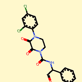 O=[C]C(NC(=O)N1CCN(c2ccc(Cl)cc2Cl)C(=O)C1=O)c1ccccc1